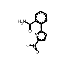 NC(=O)c1ccccc1-c1ccc([N+](=O)[O-])s1